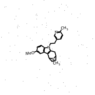 COc1ccc2c(c1)c1c(n2CCc2ccc(C)nc2)CC2CCC1N2C